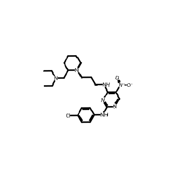 CCN(CC)CC1CCCCN1CCCNc1nc(Nc2ccc(Cl)cc2)ncc1[N+](=O)[O-]